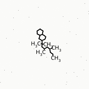 CCCC(C)CC(C)CC(C)(C)C1CCC2CCCCC2C1